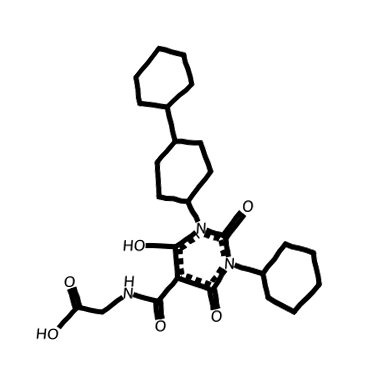 O=C(O)CNC(=O)c1c(O)n(C2CCC(C3CCCCC3)CC2)c(=O)n(C2CCCCC2)c1=O